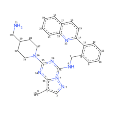 CC(C)c1cnn2c(NCc3ccccc3-c3ccc4ccccc4n3)nc(N3CCC(CN)CC3)nc12